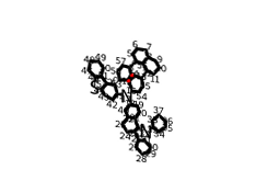 c1ccc(-c2cccc3cccc(-c4ccc(N(c5ccc6c(ccc7c8ccccc8n(-c8ccccc8)c67)c5)c5ccc6sc7ccccc7c6c5)cc4)c23)cc1